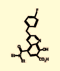 CCN(CC)C(=O)c1cc(C(=O)O)c(O)c2ncc(Cc3ccc(F)cc3)cc12